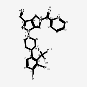 O=Cc1nn(N2CCC(c3ccc(F)c(F)c3C(F)(F)F)CC2)c2c1CN(C(=O)c1ccccn1)C2